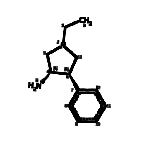 CCN1C[C@@H](N)[C@H](c2ccccc2)C1